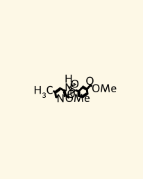 COC(=O)c1cccc(S(=O)(=O)Nc2cc(C)cnc2OC)c1